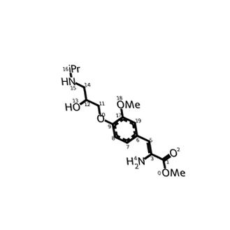 COC(=O)C(N)=Cc1ccc(OCC(O)CNC(C)C)c(OC)c1